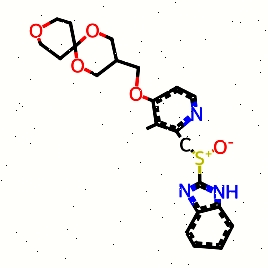 Cc1c(OCC2COC3(CCOCC3)OC2)ccnc1C[S+]([O-])c1nc2ccccc2[nH]1